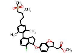 COC(=O)C[C@@H]1COc2cc(O[C@@H]3CCc4c(-c5c(C)cc(CC[C@@H](C)CS(C)(=O)=O)cc5C)ccc(F)c43)ccc21